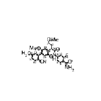 COCCC(C(=O)Nc1ccc(C(N)=O)c(F)c1)n1cc(OC)c(-c2cc(C)ccc2C#N)cc1=O